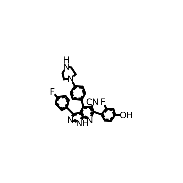 N#Cc1c(-c2ccc(O)cc2F)nc2[nH]nc(-c3ccc(F)cc3)c2c1-c1ccc(N2CCNCC2)cc1